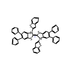 c1ccc(-c2cc3c(cc2-c2ccccc2)N(c2cc4ccccc4s2)/C(=C2\Sc4cc(-c5ccccc5)c(-c5ccccc5)cc4N2c2cc4ccccc4s2)S3)cc1